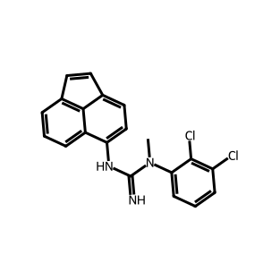 CN(C(=N)Nc1ccc2c3c(cccc13)C=C2)c1cccc(Cl)c1Cl